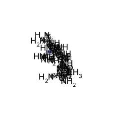 CC(NC(=O)[C@H](CCN)NC(=O)C(N)CCCCN)C(=O)NCC(=O)N[C@H](CCCN)C(=O)N1CC(F)(F)C[C@H]1C(=O)NC(Cc1cnc[nH]1)C(=O)N[C@@H](CCCCN)C(=O)N/C(=C\CCNC(=N)N)C(=O)N[C@@H](CCCCN)C(=O)NCCCCN